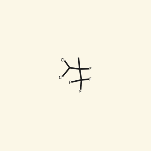 CC(F)(C(Cl)Cl)C(F)(F)F